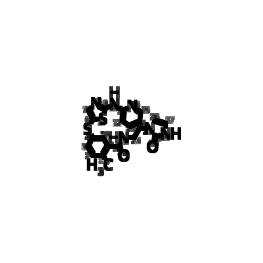 Cc1ccc(Sc2cnc(Nc3ccccn3)s2)cc1C(=O)NCCn1cc[nH]c1=O